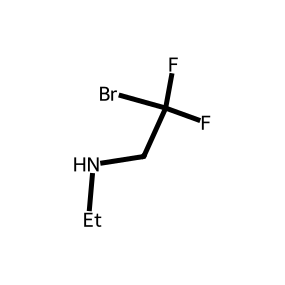 CCNCC(F)(F)Br